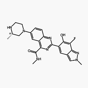 CNC(=O)c1nc(-c2cc3cn(C)nc3c(F)c2O)nc2ccc(N3CCN[C@@H](C)C3)cc12